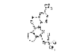 O=c1c2c(c(OS(=O)(=O)C(F)(F)F)nn1-c1ccc(C(F)(F)F)cc1F)CCC2